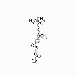 CN(C)C(=O)CCCCCN(C)c1ccc(C(=O)SCCOC(=O)c2ccccc2)cc1